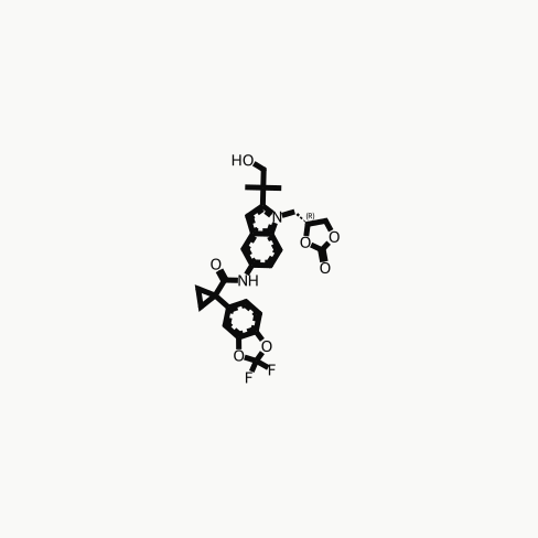 CC(C)(CO)c1cc2cc(NC(=O)C3(c4ccc5c(c4)OC(F)(F)O5)CC3)ccc2n1C[C@@H]1COC(=O)O1